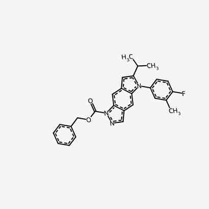 Cc1cc(-n2c(C(C)C)cc3cc4c(cnn4C(=O)OCc4ccccc4)cc32)ccc1F